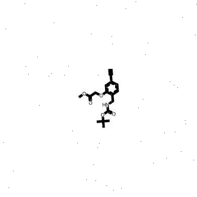 C#Cc1ccc(CNC(=O)OC(C)(C)C)c(OCC(=O)OC)c1